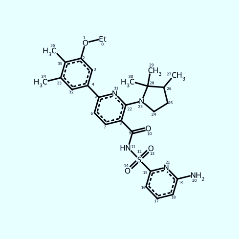 CCOc1cc(-c2ccc(C(=O)NS(=O)(=O)c3cccc(N)n3)c(N3CCC(C)C3(C)C)n2)cc(C)c1C